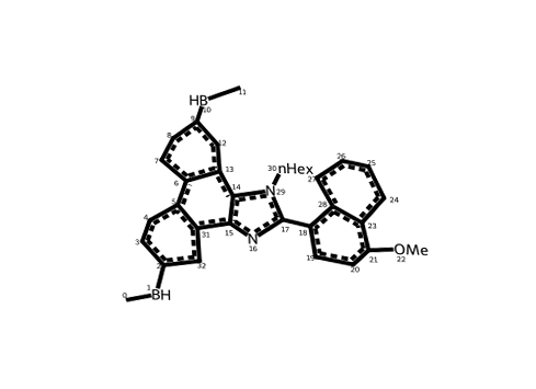 CBc1ccc2c3ccc(BC)cc3c3c(nc(-c4ccc(OC)c5ccccc45)n3CCCCCC)c2c1